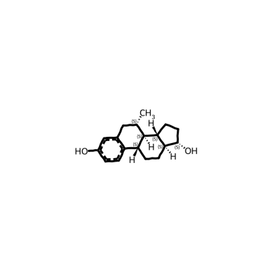 C[C@H]1Cc2cc(O)ccc2[C@H]2CC[C@H]3[C@@H](CC[C@@H]3O)[C@@H]21